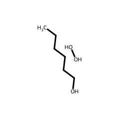 CCCCCCO.OO